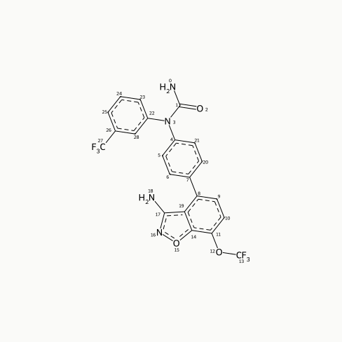 NC(=O)N(c1ccc(-c2ccc(OC(F)(F)F)c3onc(N)c23)cc1)c1cccc(C(F)(F)F)c1